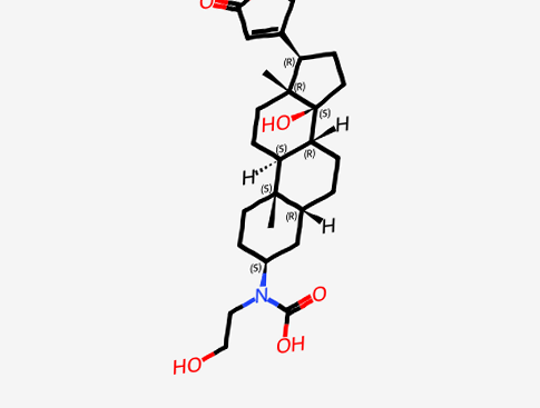 C[C@]12CC[C@H](N(CCO)C(=O)O)C[C@H]1CC[C@@H]1[C@@H]2CC[C@]2(C)[C@@H](C3=CC(=O)OC3)CC[C@]12O